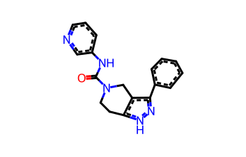 O=C(Nc1cccnc1)N1CCc2[nH]nc(-c3ccccc3)c2C1